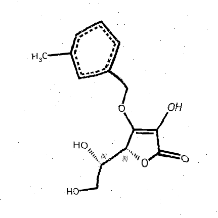 Cc1cccc(COC2=C(O)C(=O)O[C@@H]2[C@@H](O)CO)c1